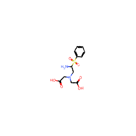 NC(CN(CC(=O)O)CC(=O)O)S(=O)(=O)c1ccccc1